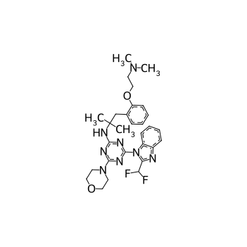 CN(C)CCOc1ccccc1CC(C)(C)Nc1nc(N2CCOCC2)nc(-n2c(C(F)F)nc3ccccc32)n1